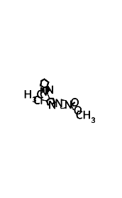 COCC(=O)N1CCN(c2cc(-c3nc4ccccc4n3C)c(Cl)cn2)CC1